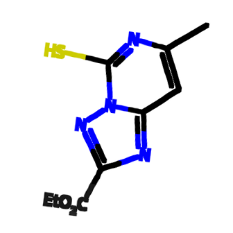 CCOC(=O)c1nc2cc(C)nc(S)n2n1